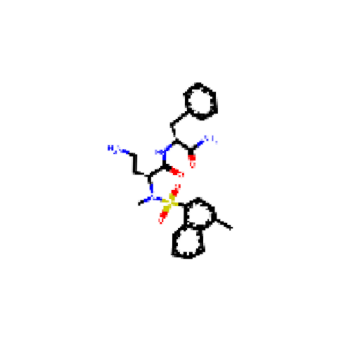 Cc1ccc(S(=O)(=O)N(C)[C@@H](CCN)C(=O)N[C@@H](Cc2ccccc2)C(N)=O)c2ccccc12